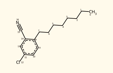 CCCCCCCCc1ccc(Cl)cc1C#N